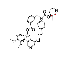 COc1ccc(N(Cc2cccc(C(=O)O[C@@H](Cc3c(Cl)cncc3Cl)c3ccc(OC)c(OC)c3)c2)C(=O)O[C@H]2CN3CCC2CC3)cc1